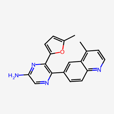 Cc1ccc(-c2nc(N)cnc2-c2ccc3nccc(C)c3c2)o1